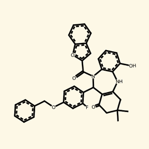 CC1(C)CC(=O)C2=C(C1)Nc1c(O)cccc1N(C(=O)c1cc3ccccc3o1)C2c1ccc(OCc2ccccc2)cc1F